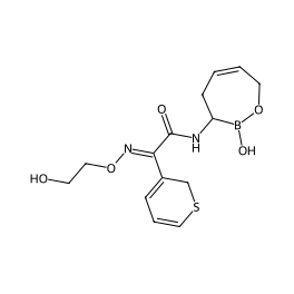 O=C(NC1CC=CCOB1O)/C(=N/OCCO)C1=CC=CSC1